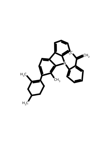 C=C(C)c1ccccc1-n1c2ccccc2c2ccc(C3=C(C)CC(C)CC3)c(C)c21